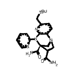 CC(C)(C)Cc1ccc2c(n1)N(c1ccccn1)[C@]1(C(N)=O)CN2CC1C(N)=O